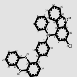 Clc1cc(N(c2ccccc2)c2ccc(-c3cccc4c3Sc3ccccc3S4)cc2)c2c(c1)oc1ccccc12